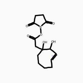 O=C(CC1(O)CCCC/C=C/C1O)ON1C(=O)CCC1=O